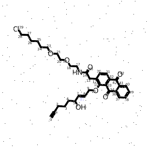 C#CCCCC(O)/C=C/COc1c(CC(=O)NCCOCCOCCCCCCCl)ccc2c1C(=O)c1ccccc1C2=O